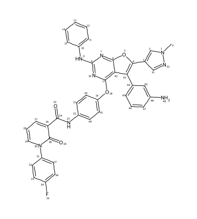 Cn1cc(-c2oc3nc(Nc4ccccc4)nc(Oc4ccc(NC(=O)c5cccn(-c6ccc(F)cc6)c5=O)cc4)c3c2-c2cccc(N)c2)cn1